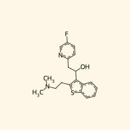 CN(C)CCc1sc2ccccc2c1C(O)Cc1ccc(F)cn1